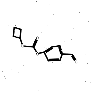 O=Cc1ccc(OC(=O)OC2CCC2)cc1